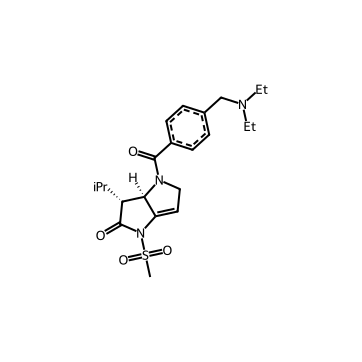 CCN(CC)Cc1ccc(C(=O)N2CC=C3[C@H]2[C@@H](C(C)C)C(=O)N3S(C)(=O)=O)cc1